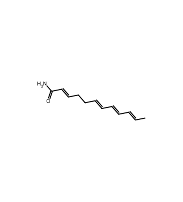 CC=CC=CC=CCCC=CC(N)=O